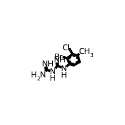 Cc1ccc(NC(=N)NC(=N)N)c(Br)c1Cl